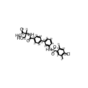 Cc1cc(S(=O)(=O)Nc2cccc(-c3ccc(C(=O)NC(C)(CO)C(=O)O)cc3)c2)c(C)cc1Cl